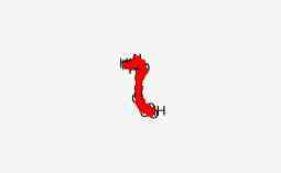 C[C@@H](NC(=O)c1cccc(NC2(c3nnc(-c4ccncc4)[nH]3)CCN(C)CC2)c1)c1ccc(OCCCCCOCCCOCC(=O)N2CCN(c3ccc4c(c3)CN(C3CCC(=O)NC3=O)C4=O)CC2)cc1